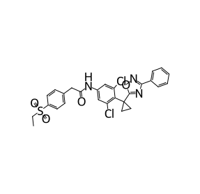 CCS(=O)(=O)c1ccc(CC(=O)Nc2cc(Cl)c(C3(c4nc(-c5ccccc5)no4)CC3)c(Cl)c2)cc1